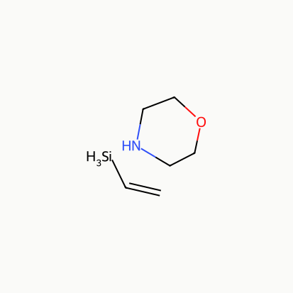 C1COCCN1.C=C[SiH3]